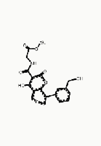 CC(C)(C)OC(=O)CNC(=O)c1c(O)c2cccc(-c3cccc(CO)c3)c2oc1=O